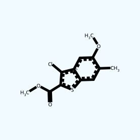 COC(=O)c1sc2cc(C)c(OC)cc2c1Cl